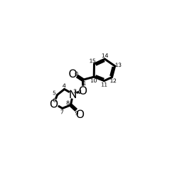 O=C(ON1CCOCC1=O)c1ccccc1